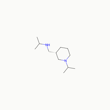 CC(C)NC[C@@H]1CCCN(C(C)C)C1